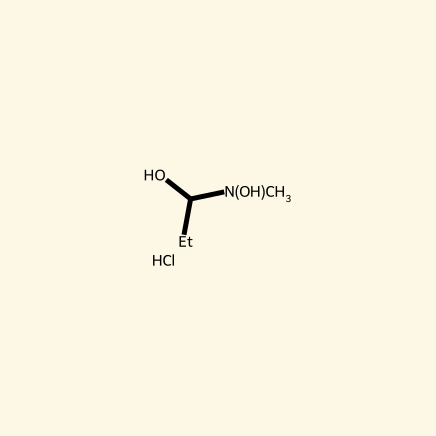 CCC(O)N(C)O.Cl